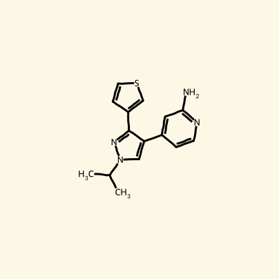 CC(C)n1cc(-c2ccnc(N)c2)c(-c2ccsc2)n1